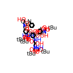 CN(C(=O)OC(C)(C)C)[C@@H]1[C@@H](O)[C@@H](O[C@@H]2[C@H](O)[C@H](O[C@H]3O[C@H](CN(CCO)S(=O)(=O)c4ccccc4[N+](=O)[O-])CC[C@H]3NC(=O)OC(C)(C)C)[C@@H](NC(=O)OC(C)(C)C)C[C@H]2NC(=O)[C@@H](O)CN(NC(=O)OC(C)(C)C)C(=O)OC(C)(C)C)OC[C@]1(C)O